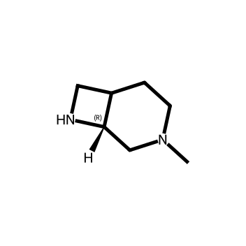 CN1CCC2CN[C@H]2C1